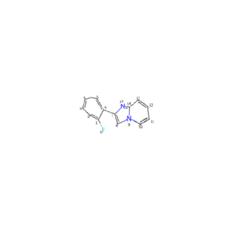 Fc1ccccc1-c1cn2ccccc2n1